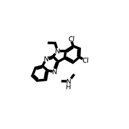 CCn1c2nc3ccccc3nc2c2cc(Cl)cc(Cl)c21.CNC